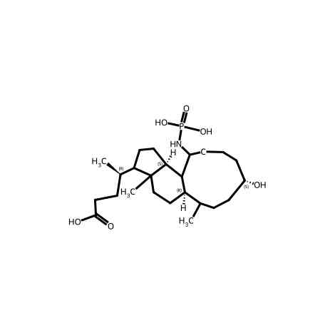 CC1CC[C@@H](O)CCCC(NP(=O)(O)O)C2[C@@H]1CCC1(C)C([C@H](C)CCC(=O)O)CC[C@@H]21